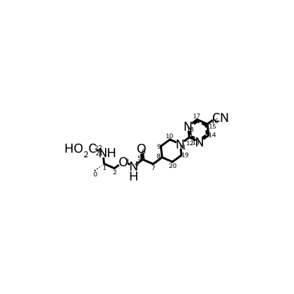 C[C@@H](CONC(=O)CC1CCN(c2ncc(C#N)cn2)CC1)NC(=O)O